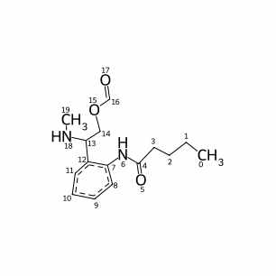 CCCCC(=O)Nc1ccccc1C(COC=O)NC